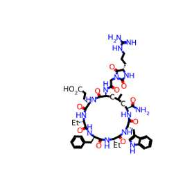 CC[C@@H]1NC(=O)[C@H](CCC(=O)O)NC(=O)[C@@H](NC(=O)CN2C(=O)N[C@@H](CCCNC(=N)N)C2=O)CC(C)C[C@@H](C(N)=O)NC(=O)[C@H](Cc2c[nH]c3ccccc23)NC(=O)[C@H](CC)NC(=O)[C@@H](Cc2ccccc2)NC1=O